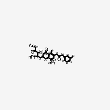 CCCC(CC1CC(=O)c2c(C)c(CC(=O)Cc3cccc(C)c3)cc(C(C)C)c2C1)C(CC)C(=O)CC(C)=O